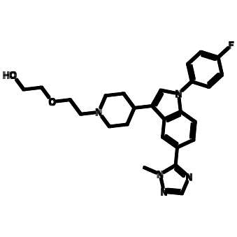 Cn1ncnc1-c1ccc2c(c1)c(C1CCN(CCOCCO)CC1)cn2-c1ccc(F)cc1